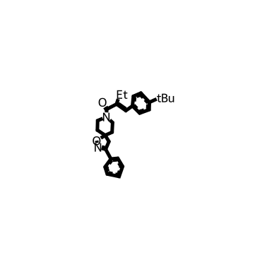 CCC(=Cc1ccc(C(C)(C)C)cc1)C(=O)N1CCC2(CC1)CC(c1ccccc1)=NO2